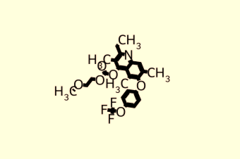 CCc1nc2cc(C)c(Oc3ccc(OC(F)(F)F)cc3)c(C)c2c(OC(=O)OCCOC)c1C